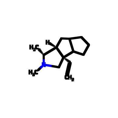 C=C[C@]12CN(C)[C@H](C)[C@H]1CC1CCCC12